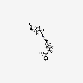 C=CC[C@@H]1C[C@H]1OC(=O)N[C@H](C(=O)OC/C=C/C[C@@H]1C[C@H]1OC(=O)N[C@H](C(=O)OC[C@H](N)c1ccccc1)C(C)(C)C)C(C)(C)C